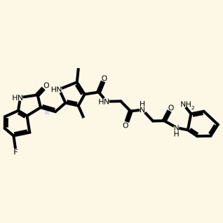 Cc1[nH]c(/C=C2\C(=O)Nc3ccc(F)cc32)c(C)c1C(=O)NCC(=O)NCC(=O)Nc1ccccc1N